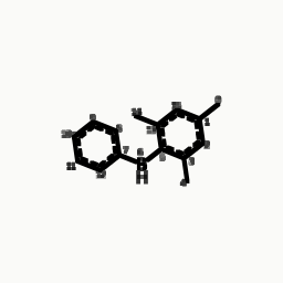 Cc1cc(C)c(Bc2cc[c]cc2)c(C)c1